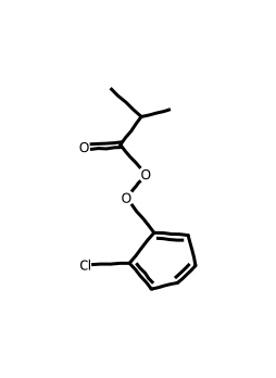 CC(C)C(=O)OOc1ccccc1Cl